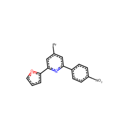 CC(C)c1cc(-c2ccc([N+](=O)[O-])cc2)nc(-c2ccco2)c1